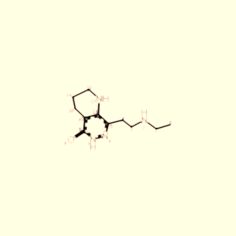 CCNCCc1n[nH]c(=O)c2c1NCCC2